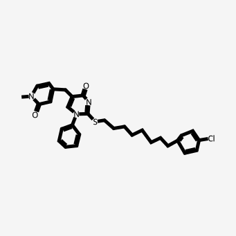 Cn1ccc(Cc2cn(-c3ccccc3)c(SCCCCCCCCc3ccc(Cl)cc3)nc2=O)cc1=O